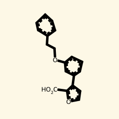 O=C(O)c1occc1-c1cccc(OCCc2ccccc2)c1